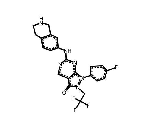 O=c1c2cnc(Nc3ccc4c(c3)CNCC4)nc2n(-c2ccc(F)cc2)n1CC(F)(F)F